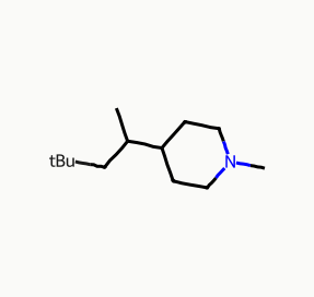 CC(CC(C)(C)C)C1CCN(C)CC1